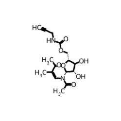 C#CCNC(=O)OC[C@H]1O[C@@H](N(/C=C(/C)C(C)=O)C(C)=O)[C@@H](O)C1O